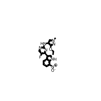 CCOc1nn(C)cc1Nc1ncc(F)c(-c2c[nH]c3c([N+](=O)[O-])cccc23)n1